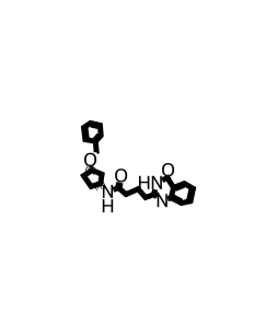 O=C(CCCc1nc2ccccc2c(=O)[nH]1)N[C@@H]1CC[C@@H](OCc2ccccc2)C1